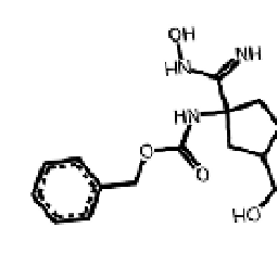 N=C(NO)C1(NC(=O)OCc2ccccc2)CCC(CO)C1